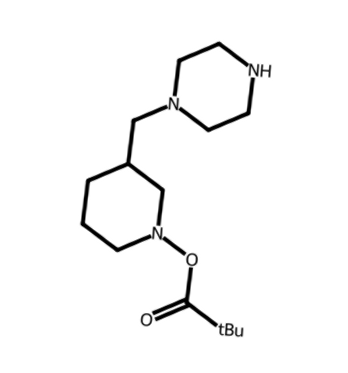 CC(C)(C)C(=O)ON1CCCC(CN2CCNCC2)C1